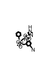 CS(=O)(=O)N1Cc2cc(C#N)ccc2N(S(=O)(=O)c2c[nH]cn2)C[C@H]1Cc1ccccc1